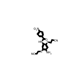 N#CCCSc1cc(NC(=O)c2ccc([N+](=O)[O-])cc2)c(SCCC#N)cc1N